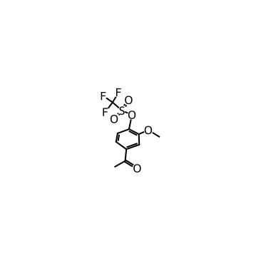 COc1cc(C(C)=O)ccc1OS(=O)(=O)C(F)(F)F